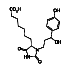 O=C(O)CCCCCCC1C(=O)NC(=O)N1CCC(O)c1ccc(O)cc1